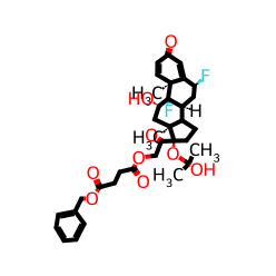 CC(C)(O)O[C@]1(C(=O)COC(=O)CCC(=O)OCc2ccccc2)CCC2[C@@H]3C[C@H](F)C4=CC(=O)C=C[C@]4(C)[C@@]3(F)[C@@H](O)C[C@@]21C